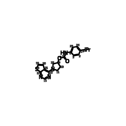 CC(C)c1ccc(NC(=O)OC2CCN(c3ncnc4sccc34)C2)cc1